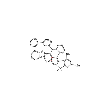 CC(C)(C)c1cc(C(C)(C)C)c2c(c1)C(C)(C)c1cccc(-c3ccccc3N(c3cccc(-c4ccccc4)c3)c3cccc4c3oc3ccccc34)c1-2